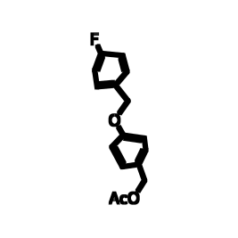 CC(=O)OCc1ccc(OCc2ccc(F)cc2)cc1